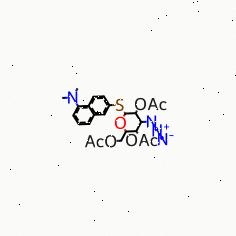 CC(=O)OCC1O[C@H](Sc2ccc3c(N(C)C)cccc3c2)C(OC(C)=O)C(N=[N+]=[N-])[C@H]1OC(C)=O